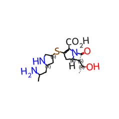 CC(N)C[C@@H]1C[C@H](SC2=C(C(=O)O)N3C(=O)[C@H]([C@@H](C)O)[C@H]3C2)CN1